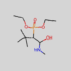 CCOP(=O)(OCC)C(C(O)NC)C(C)(C)C